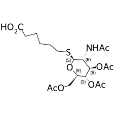 CC(=O)N[C@@H]1[C@@H](OC(C)=O)[C@H](OC(C)=O)[C@@H](COC(C)=O)O[C@H]1SCCCCCC(=O)O